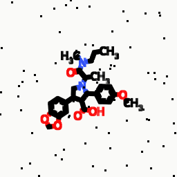 CCCN(C)C(=O)C(C)N1CC(c2ccc3c(c2)OCO3)C(C(=O)O)C1c1ccc(OC)cc1